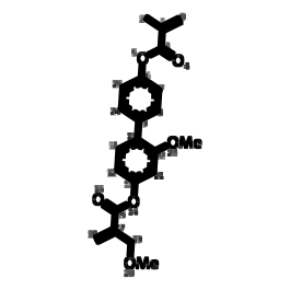 C=C(C)C(=O)Oc1ccc(-c2ccc(OC(=O)C(=C)COC)cc2OC)cc1